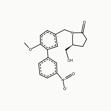 COc1ccc(CN2C(=O)CC[C@H]2CO)cc1-c1cccc([N+](=O)[O-])c1